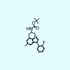 Cc1cc2c3c(c1)c(-c1ccccc1F)cn3CC(NC(=O)OC(C)(C)C)C2